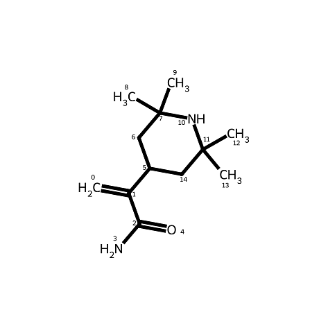 C=C(C(N)=O)C1CC(C)(C)NC(C)(C)C1